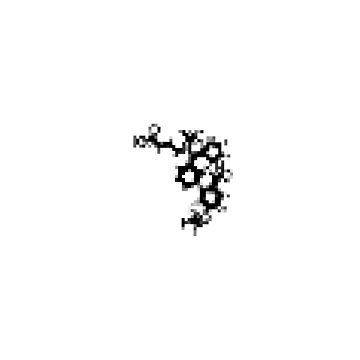 CC(=O)N(CCCC(=O)O)[C@H]1c2ccccc2N(C(=O)c2ccc(OC(F)(F)F)cc2)[C@@H]2CCC[C@@H]21